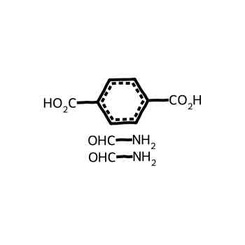 NC=O.NC=O.O=C(O)c1ccc(C(=O)O)cc1